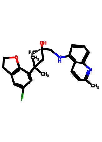 Cc1ccc2c(NC[C@](O)(CC(C)(C)c3cc(F)cc4c3OCC4)C(F)(F)F)cccc2n1